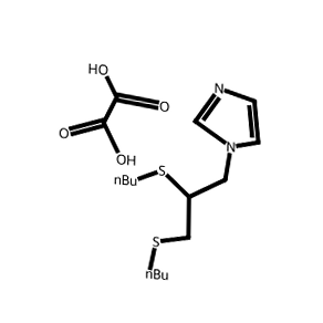 CCCCSCC(Cn1ccnc1)SCCCC.O=C(O)C(=O)O